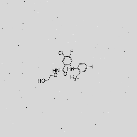 Cc1cc(I)ccc1Nc1cc(F)c(Cl)cc1C(=O)NOCCO